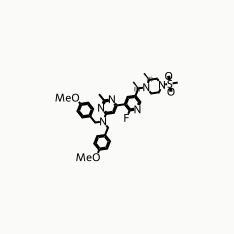 COc1ccc(CN(Cc2ccc(OC)cc2)c2cc(-c3cc([C@@H](C)N4CCN(S(C)(=O)=O)C[C@@H]4C)cnc3F)nc(C)n2)cc1